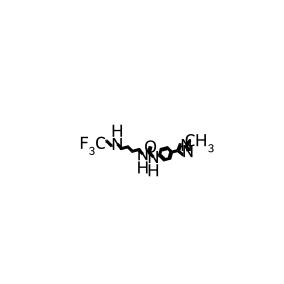 Cn1cc(-c2ccc(NC(=O)NCCCCNCCC(F)(F)F)cc2)cn1